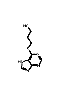 N#CCCCSc1ncnc2nc[nH]c12